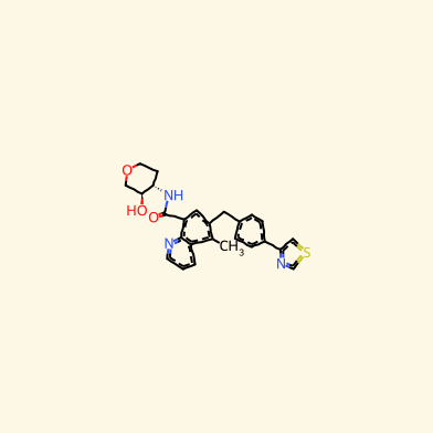 Cc1c(Cc2ccc(-c3cscn3)cc2)cc(C(=O)N[C@H]2CCOC[C@@H]2O)c2ncccc12